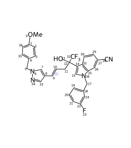 COc1ccc(Cn2cc(/C=C/CC(O)(c3cn(Cc4cccc(F)c4)c4cc(C#N)ccc34)C(F)(F)F)cn2)cc1